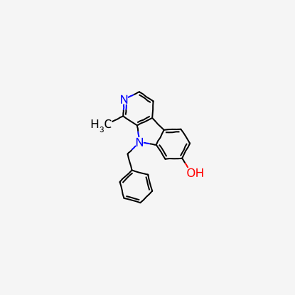 Cc1nccc2c3ccc(O)cc3n(Cc3ccccc3)c12